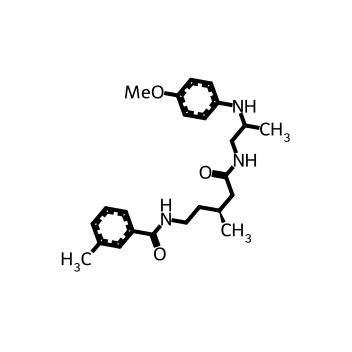 COc1ccc(NC(C)CNC(=O)C[C@@H](C)CCNC(=O)c2cccc(C)c2)cc1